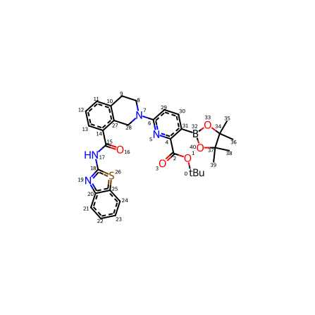 CC(C)(C)OC(=O)c1nc(N2CCc3cccc(C(=O)Nc4nc5ccccc5s4)c3C2)ccc1B1OC(C)(C)C(C)(C)O1